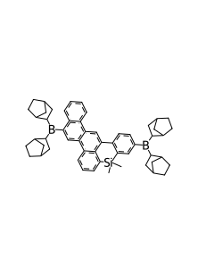 C[Si]1(C)c2cc(B(C3CC4CCC3C4)C3CC4CCC3C4)ccc2-c2cc3c4ccccc4c(B(C4CC5CCC4C5)C4CC5CCC4C5)cc3c3cccc1c23